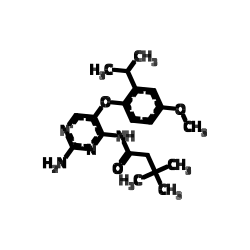 COc1ccc(Oc2cnc(N)nc2NC(=O)CC(C)(C)C)c(C(C)C)c1